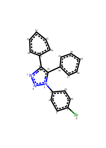 Brc1ccc(-n2nnc(-c3ccccc3)c2-c2ccccc2)cc1